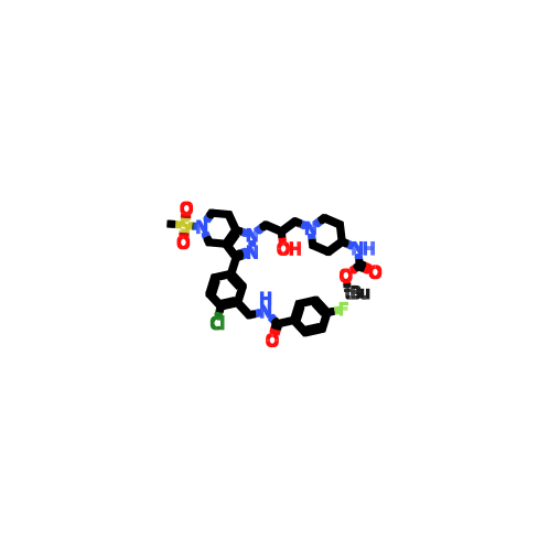 CC(C)(C)OC(=O)NC1CCN(CC(O)Cn2nc(-c3ccc(Cl)c(CNC(=O)c4ccc(F)cc4)c3)c3c2CCN(S(C)(=O)=O)C3)CC1